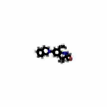 CCC1(Nc2c(C)cc(N3CCc4ccccc4C3)cc2C)COC1